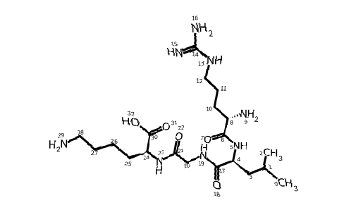 CC(C)C[C@H](NC(=O)[C@@H](N)CCCNC(=N)N)C(=O)NCC(=O)N[C@@H](CCCCN)C(=O)O